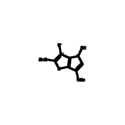 CNc1cn(O)c2c1oc(NC)[n+]2[O-]